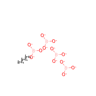 [Ir+4].[Ir+4].[Ir+4].[O-]B([O-])[O-].[O-]B([O-])[O-].[O-]B([O-])[O-].[O-]B([O-])[O-]